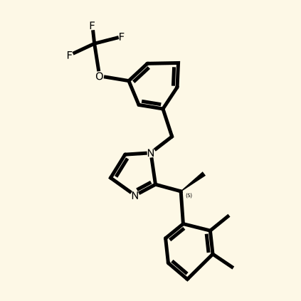 Cc1cccc([C@H](C)c2nccn2Cc2cccc(OC(F)(F)F)c2)c1C